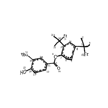 CCC(C)(C)c1ccc(OC(=O)c2ccc(O)c(C(C)(C)C)c2)c(C(C)(C)CC)c1